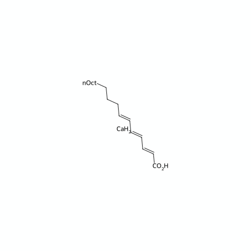 CCCCCCCCCCCC=CC=CC=CC(=O)O.[CaH2]